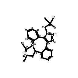 CCCC1c2ccccc2-c2nnn(CC(C)(C)C)c2-c2ccccc2N1C(C)=O